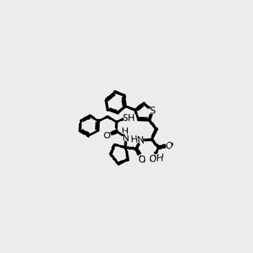 O=C(NC1(C(=O)NC(Cc2cc(-c3ccccc3)cs2)C(=O)O)CCCC1)C(S)Cc1ccccc1